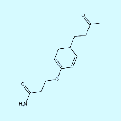 CC(=O)CCC1C=CC(OCCC(N)=O)=CC1